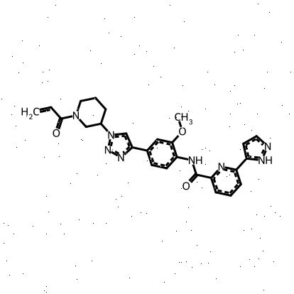 C=CC(=O)N1CCCC(n2cc(-c3ccc(NC(=O)c4cccc(-c5ccn[nH]5)n4)c(OC)c3)nn2)C1